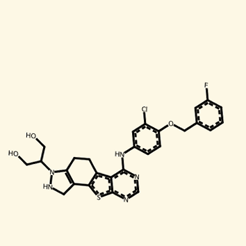 OCC(CO)N1NCC2=C1CCc1c2sc2ncnc(Nc3ccc(OCc4cccc(F)c4)c(Cl)c3)c12